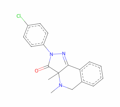 CN1Cc2ccccc2C2=NN(c3ccc(Cl)cc3)C(=O)C21C